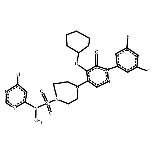 CN(c1cc(Cl)ncn1)S(=O)(=O)N1CCN(c2cnn(-c3cc(F)cc(F)c3)c(=O)c2OC2CCCCC2)CC1